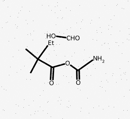 CCC(C)(C)C(=O)OC(N)=O.O=CO